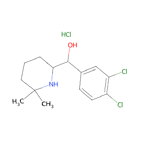 CC1(C)CCCC(C(O)c2ccc(Cl)c(Cl)c2)N1.Cl